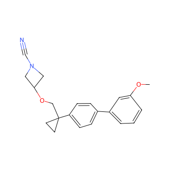 COc1cccc(-c2ccc(C3(COC4CN(C#N)C4)CC3)cc2)c1